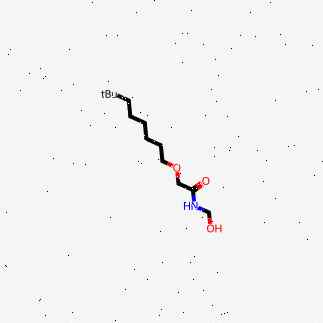 CC(C)(C)CCCCCCOCC(=O)NCO